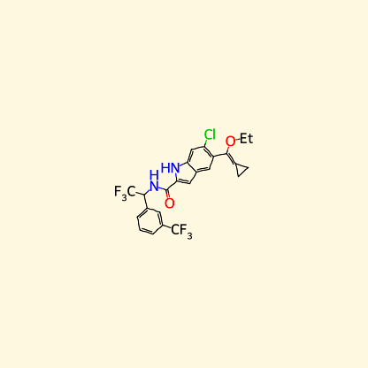 CCOC(=C1CC1)c1cc2cc(C(=O)NC(c3cccc(C(F)(F)F)c3)C(F)(F)F)[nH]c2cc1Cl